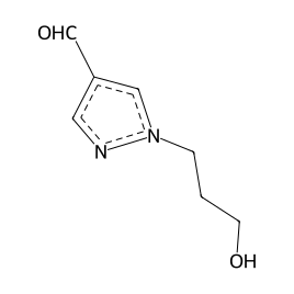 O=Cc1cnn(CCCO)c1